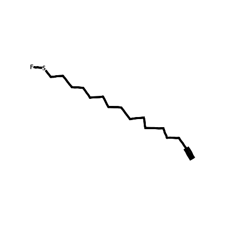 C#CCCCCCCCCCCCCCCSF